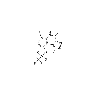 Cc1nnc2n1-c1c(OS(=O)(=O)C(F)(F)F)ccc(F)c1NC2C